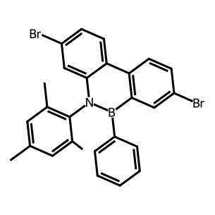 Cc1cc(C)c(N2B(c3ccccc3)c3cc(Br)ccc3-c3ccc(Br)cc32)c(C)c1